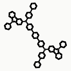 c1ccc(-c2ccc(N(c3ccc(-c4ccc(-c5ccc(N(c6ccc(-c7ccccc7)cc6)c6ccc7c(c6)c6ccccc6n7-c6ccccc6)cc5)cc4)cc3)c3ccc4c(c3)c3ccccc3n4-c3ccccc3)cc2)cc1